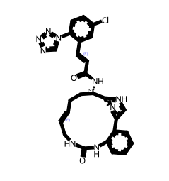 O=C(/C=C/c1cc(Cl)ccc1-n1cnnn1)N[C@H]1CC/C=C/CNC(=O)Nc2ccccc2-c2c[nH]c1n2